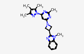 Cc1nc(N2CC(c3nc4ccccc4n3C)C2)cc(-n2nc(C)c(C)c2C)n1